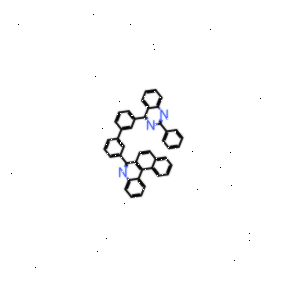 c1ccc(-c2nc(-c3cccc(-c4cccc(-c5nc6ccccc6c6c5ccc5ccccc56)c4)c3)c3ccccc3n2)cc1